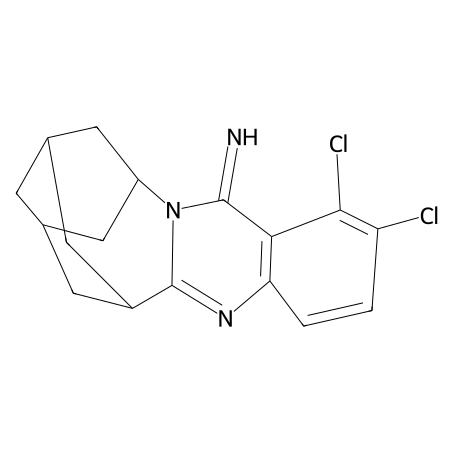 N=c1c2c(Cl)c(Cl)ccc2nc2n1C1CC3CC(CC2C3)C1